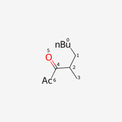 CCCCCC(C)C(=O)C(C)=O